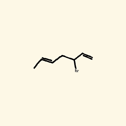 C=CC(Br)C/C=C/C